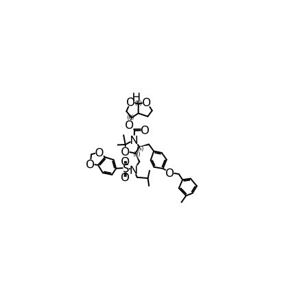 Cc1cccc(COc2ccc(C[C@H]3[C@@H](CN(CC(C)C)S(=O)(=O)c4ccc5c(c4)OCO5)OC(C)(C)N3C(=O)O[C@H]3CO[C@H]4OCCC43)cc2)c1